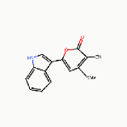 CSc1cc(-c2c[nH]c3ccccc23)oc(=O)c1C#N